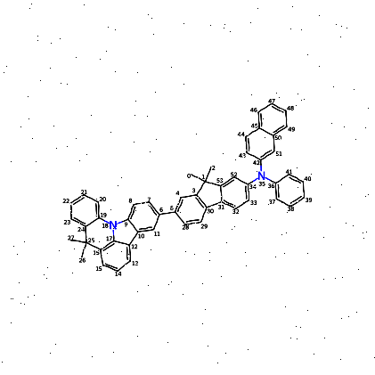 CC1(C)c2cc(-c3ccc4c(c3)c3cccc5c3n4-c3ccccc3C5(C)C)ccc2-c2ccc(N(c3ccccc3)c3ccc4ccccc4c3)cc21